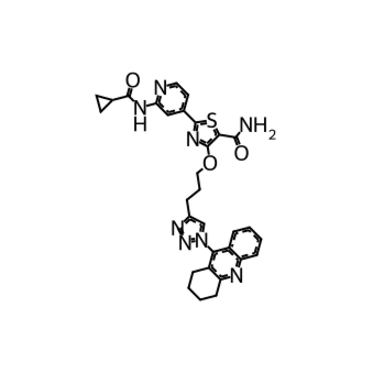 NC(=O)c1sc(-c2ccnc(NC(=O)C3CC3)c2)nc1OCCCc1cn(-c2c3c(nc4ccccc24)CCCC3)nn1